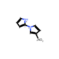 O=[N+]([O-])c1ccn(-c2ccc[nH]2)c1